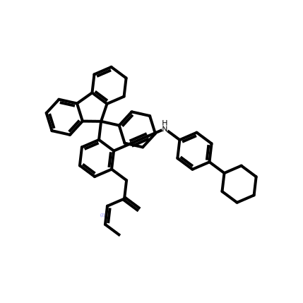 C=C(/C=C\C)Cc1cccc(C2(C3=CCCCC3)C3=C(C=CCC3)c3ccccc32)c1C#CNc1ccc(C2CCCCC2)cc1